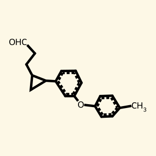 Cc1ccc(Oc2cccc(C3CC3CCC=O)c2)cc1